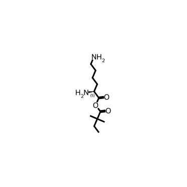 CCC(C)(C)C(=O)OC(=O)[C@@H](N)CCCCN